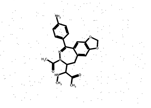 CNC(C(C)=O)C1Cc2cc3c(cc2C(c2ccc(N)cc2)=NN1C(C)=O)OCO3